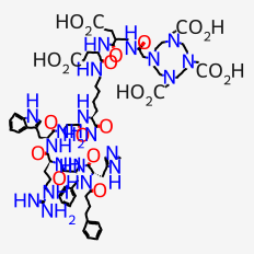 N=C(N)NCCC[C@H](NC(=O)[C@@H](Cc1ccccc1)NC(=O)[C@H](Cc1cnc[nH]1)NC(=O)CCCc1ccccc1)C(=O)N[C@@H](Cc1c[nH]c2ccccc12)C(=O)NCC(=O)N[C@@H](CCCCCNC(=O)C(CCC(=O)O)NC(=O)C(CCC(=O)O)CNC(=O)CN1CCN(CC(=O)O)CCN(CC(=O)O)CCN(CC(=O)O)CC1)C(N)=O